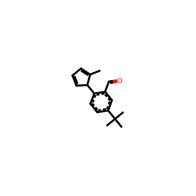 CC1=CC=CC1c1ccc(C(C)(C)C)cc1C=O